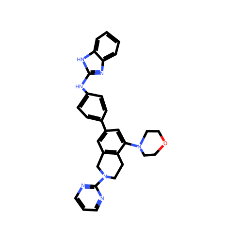 c1cnc(N2CCc3c(cc(-c4ccc(Nc5nc6ccccc6[nH]5)cc4)cc3N3CCOCC3)C2)nc1